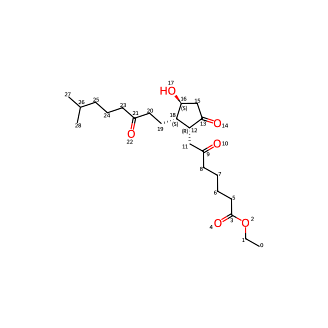 CCOC(=O)CCCCC(=O)C[C@H]1C(=O)C[C@H](O)[C@H]1CCC(=O)CCCC(C)C